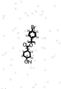 CC(C)(OC(=O)C1CCC(O)CC1)c1ccc(Br)cc1